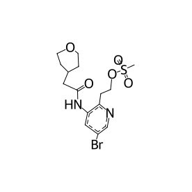 CS(=O)(=O)OCCc1ncc(Br)cc1NC(=O)CC1CCOCC1